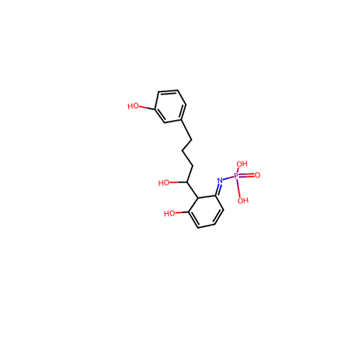 O=P(O)(O)N=C1C=CC=C(O)C1C(O)CCCc1cccc(O)c1